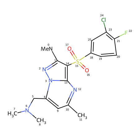 CNc1nn2c(CN(C)C)cc(C)nc2c1S(=O)(=O)c1ccc(F)c(Cl)c1